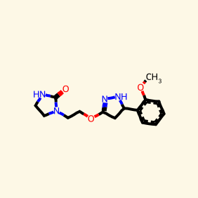 COc1ccccc1C1CC(OCCN2CCNC2=O)=NN1